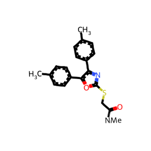 CNC(=O)CSc1nc(-c2ccc(C)cc2)c(-c2ccc(C)cc2)o1